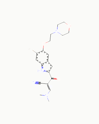 CN(C)/C=C(\C#N)C(=O)c1cc2cc(OCCN3CCOCC3)c(Br)cc2[nH]1